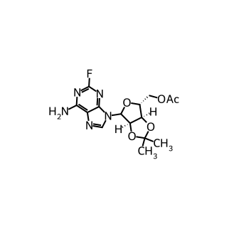 CC(=O)OC[C@H]1OC(n2cnc3c(N)nc(F)nc32)[C@@H]2OC(C)(C)O[C@H]12